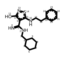 N=C(NCC1CCCCC1)c1c(O)nsc1NCCc1ccccc1